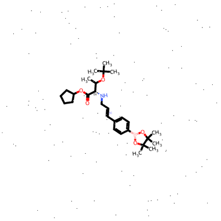 CC(OC(C)(C)C)[C@H](NC/C=C/c1ccc(B2OC(C)(C)C(C)(C)O2)cc1)C(=O)OC1CCCC1